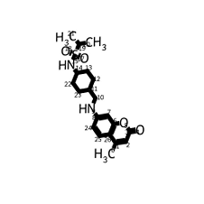 Cc1cc(=O)oc2cc(NCC3CCC(NS(=O)(=O)C(C)C)CC3)ccc12